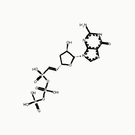 Nc1nc2c(ncn2[C@@H]2O[C@H](/C=C/P(=O)(O)OP(=O)(O)OP(=O)(O)O)C[C@H]2O)c(=O)[nH]1